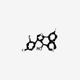 OC(c1cccnc1)c1c(-c2ccc(Cl)cc2F)coc1-c1cccc(F)c1